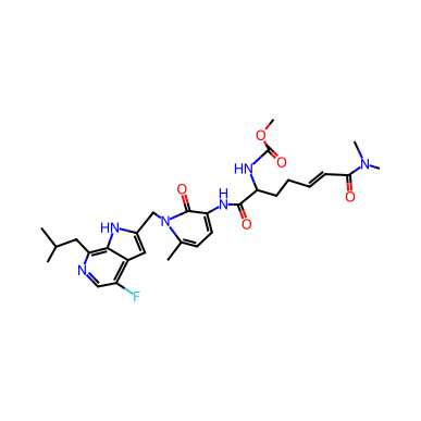 COC(=O)NC(CCC=CC(=O)N(C)C)C(=O)Nc1ccc(C)n(Cc2cc3c(F)cnc(CC(C)C)c3[nH]2)c1=O